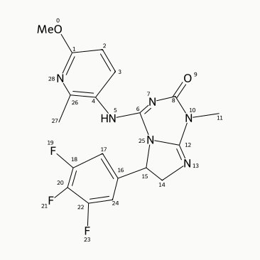 COc1ccc(NC2=NC(=O)N(C)C3=NCC(c4cc(F)c(F)c(F)c4)N23)c(C)n1